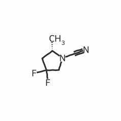 C[C@H]1CC(F)(F)CN1C#N